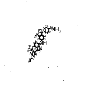 C=CCn1cc(-c2cnc3c(Nc4ccc(C(=O)N5CCC(CN)CC5)c(CC)c4)nccn23)c(C(F)(F)F)n1